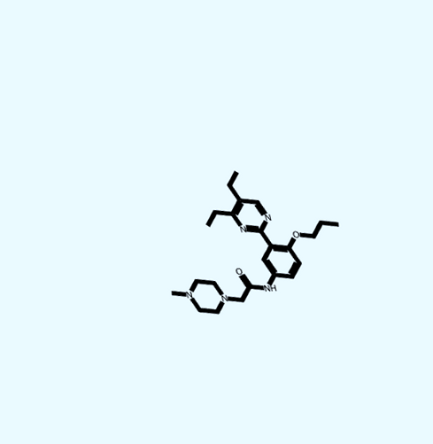 CCCOc1ccc(NC(=O)CN2CCN(C)CC2)cc1-c1ncc(CC)c(CC)n1